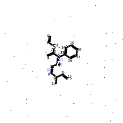 C=CSC(=C)/C(=N\C=C/C(C)C=C)c1ccccc1